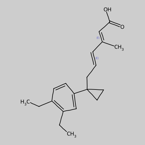 CCc1ccc(C2(C/C=C/C(C)=C/C(=O)O)CC2)cc1CC